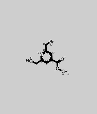 COC(=O)c1cc(CO)nc(CBr)c1